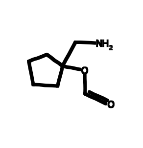 NCC1(OC=O)CCCC1